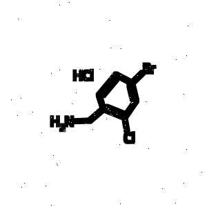 Cl.NCc1ccc(Br)cc1Cl